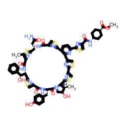 COC(=O)[C@H]1CC[C@H](NC(=O)c2csc(-c3ccc4c(n3)-c3csc(n3)-c3csc(n3)[C@@H]3[C@@H](C)[C@@H](O)CN3C(=O)[C@H](Cc3ccc(O)cc3)NC(=O)c3csc(n3)[C@H]([C@H](O)c3ccccc3)NC(=O)c3nc(sc3C)[C@H](CC(N)=O)NC(=O)c3csc-4n3)n2)CC1